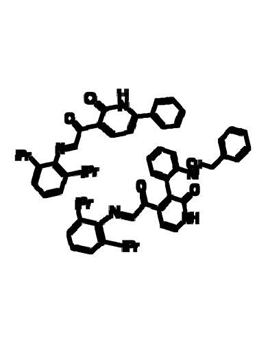 CC(C)c1cccc(C(C)C)c1N=CC(=O)c1cc[nH]c(=O)c1-c1cccc[c]1[Ni].CC(C)c1cccc(C(C)C)c1N=CC(=O)c1ccc(-c2ccccc2)[nH]c1=O.[Cu][CH2]c1ccccc1